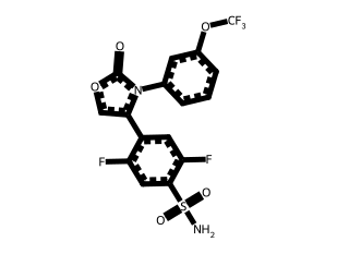 NS(=O)(=O)c1cc(F)c(-c2coc(=O)n2-c2cccc(OC(F)(F)F)c2)cc1F